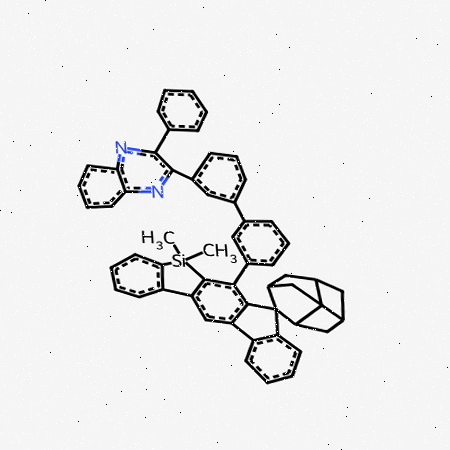 C[Si]1(C)c2ccccc2-c2cc3c(c(-c4cccc(-c5cccc(-c6nc7ccccc7nc6-c6ccccc6)c5)c4)c21)C1(c2ccccc2-3)C2CC3CC(C2)CC1C3